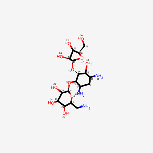 NCC1O[C@H](OC2C(N)CC(N)C(O)[C@H]2O[C@@H]2O[C@H](CO)C(O)[C@@H]2O)C(O)C(O)[C@@H]1O